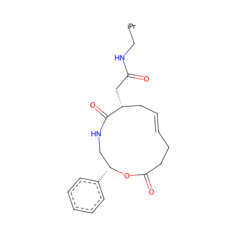 CC(C)CNC(=O)C[C@@H]1C/C=C/CCC(=O)O[C@H](c2ccccc2)CNC1=O